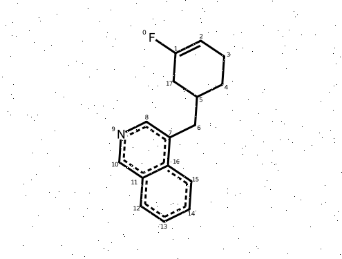 FC1=CCCC(Cc2cncc3ccccc23)C1